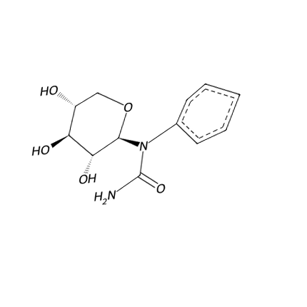 NC(=O)N(c1ccccc1)[C@@H]1OC[C@@H](O)[C@H](O)[C@H]1O